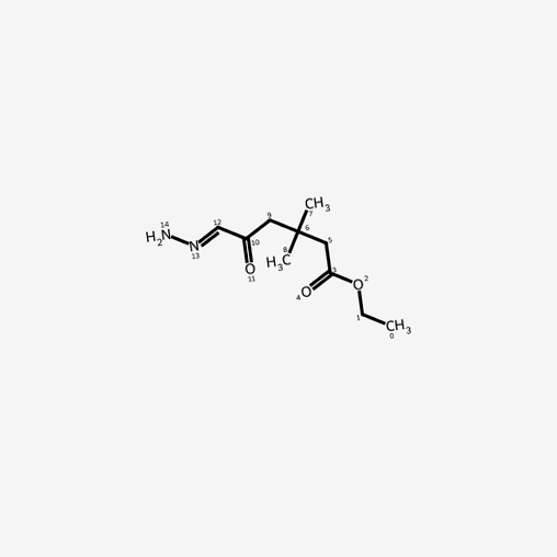 CCOC(=O)CC(C)(C)CC(=O)C=NN